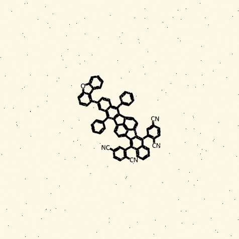 N#Cc1ccc(C#N)c(-c2c3c(c(-c4cc(C#N)ccc4C#N)c4ccccc24)-c2ccc4c5c(ccc-3c25)-c2c-4c(-c3ccccc3)c3cc(-c4cccc5oc6ccccc6c45)ccc3c2-c2ccccc2)c1